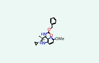 COc1ccc2c(n1)[C@@H](NC(=O)OCc1ccccc1)[C@H](C)[C@@H](C1CC1)N2